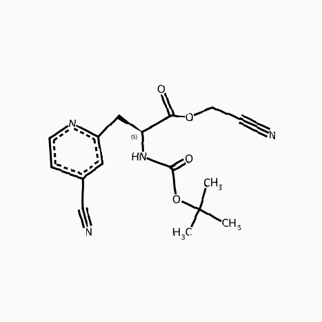 CC(C)(C)OC(=O)N[C@@H](Cc1cc(C#N)ccn1)C(=O)OCC#N